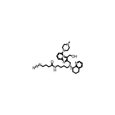 CN1CCN(c2cccc3nc(CN(CCCCNC(=O)CCCN=[N+]=[N-])[C@@H]4CCCc5cccnc54)c(CO)n23)CC1